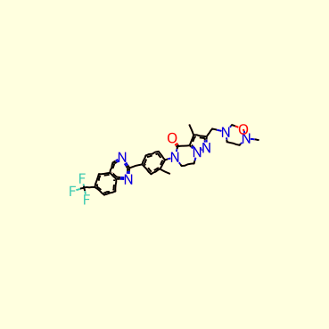 Cc1cc(-c2ncc3cc(C(F)(F)F)ccc3n2)ccc1N1CCn2nc(CN3CCN(C)OC3)c(C)c2C1=O